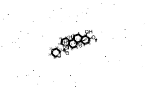 CO[C@H]1CC[C@@]2(C)C(CC[C@@H]3[C@@H]2CC[C@@]2(C)[C@H]3CCCN2C(=O)[C@H]2CCCCO2)[C@H]1O